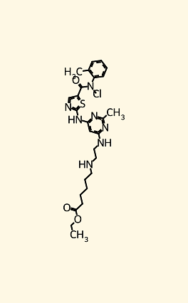 CCOC(=O)CCCCCNCCNc1cc(Nc2ncc(C(=O)N(Cl)c3ccccc3C)s2)nc(C)n1